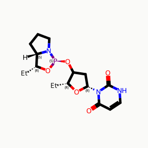 CC[C@H]1O[C@@H](n2c(=O)cc[nH]c2=O)CC1O[P@@]1O[C@H](CC)[C@@H]2CCCN21